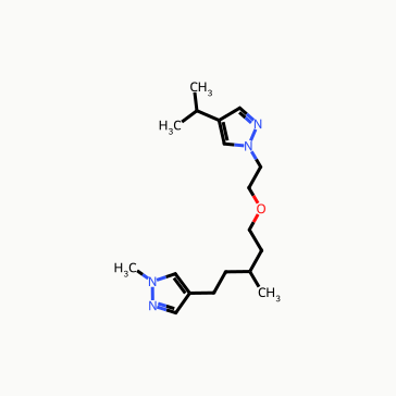 CC(CCOCCn1cc(C(C)C)cn1)CCc1cnn(C)c1